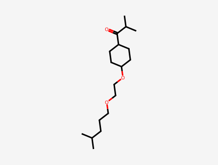 CC(C)CCCOCCOC1CCC(C(=O)C(C)C)CC1